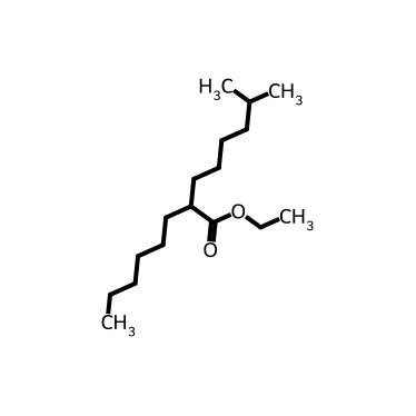 CCCCCCC(CCCCC(C)C)C(=O)OCC